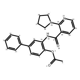 CC(=O)Oc1ccc(-c2ccccc2)cc1NC(=O)c1cccnc1N1CCCC1